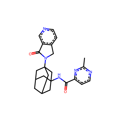 Cc1nccc(C(=O)NC23CC4CC(C2)CC(N2Cc5ccncc5C2=O)(C4)C3)n1